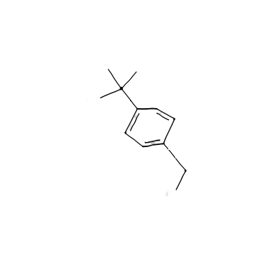 CCOC(=O)C(C)(F)c1ccc(CC(C)C)cc1